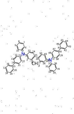 Cc1cc(N(c2ccccc2)c2ccc(-c3ccccc3)cc2)ccc1-c1ccc(N(c2ccccc2)c2ccc(-c3ccccc3)cc2)cc1